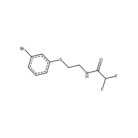 O=C(NCCSc1cccc(Br)c1)C(F)F